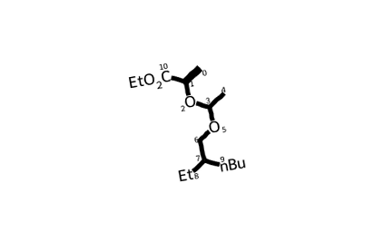 C=C(OC(C)OCC(CC)CCCC)C(=O)OCC